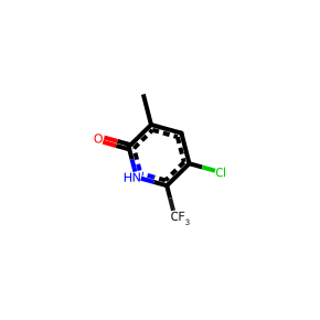 Cc1cc(Cl)c(C(F)(F)F)[nH]c1=O